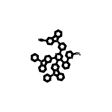 Cc1cccc(-c2ccccc2-c2cc(-c3cccc(-n4c5ccccc5c5cc(C#N)ccc54)c3)nc(-c3ccc4c(c3)c3ccccc3n4-c3ccccc3)c2-c2ccc3c(c2)c2ccccc2n3-c2ccccc2)n1